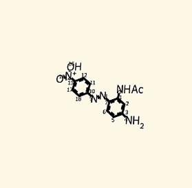 CC(=O)Nc1cc(N)ccc1/N=N/c1ccc([N+](=O)O)cc1